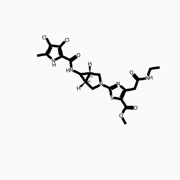 CCNC(=O)Cc1nc(N2C[C@@H]3C(NC(=O)c4[nH]c(C)c(Cl)c4Cl)[C@@H]3C2)sc1C(=O)OC